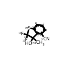 CC1(O)c2c(C#N)cccc2SC1(F)F